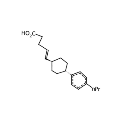 CCCc1ccc([C@H]2CC[C@H](C=CCCC(=O)O)CC2)cc1